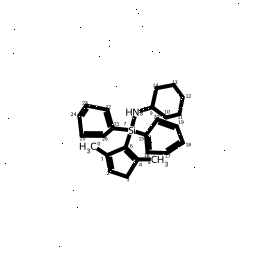 CC1=CCC(C)=C1[Si](NC1CCCCC1)(c1ccccc1)c1ccccc1